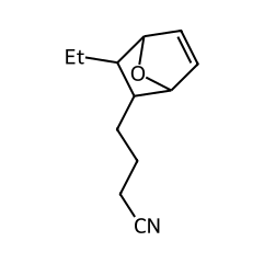 CCC1C2C=CC(O2)C1CCCC#N